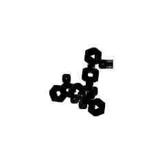 O=C(C(CN1C(=O)C2CC=CCC2C1=O)OS(=O)(=O)c1ccccc1)N1CCN(c2ccccc2O)CC1